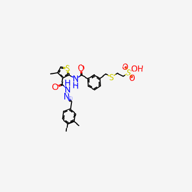 Cc1ccc(/C=N/NC(=O)c2c(C)csc2NC(=O)c2cccc(CSCCS(=O)(=O)O)c2)cc1C